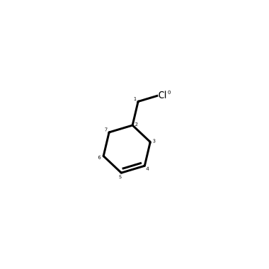 ClCC1CC=CCC1